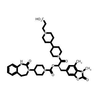 Cc1cc(C[C@@H](OC(=O)N2CCC(N3CCc4ccccc4NC3=O)CC2)C(=O)N2CCC(C3CCN(CCC(=O)O)CC3)CC2)cc2oc(=O)n(C)c12